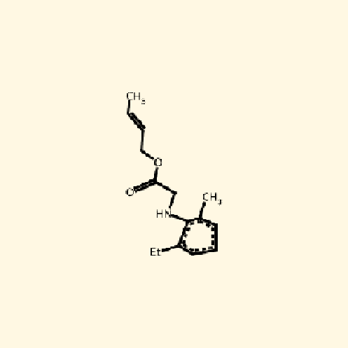 C/C=C/COC(=O)CNc1c(C)cccc1CC